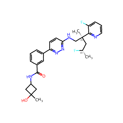 C[C@H](F)C[C@@](C)(CNc1ccc(-c2cccc(C(=O)NC3CC(C)(O)C3)c2)nn1)c1ncccc1F